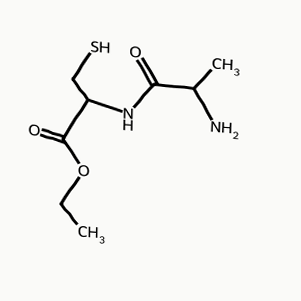 CCOC(=O)C(CS)NC(=O)C(C)N